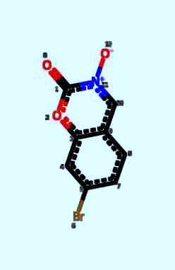 O=c1oc2cc(Br)ccc2c[n+]1[O-]